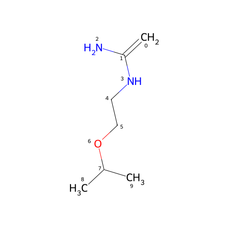 C=C(N)NCCOC(C)C